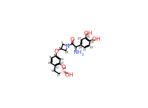 NC(C(=O)N1CC(Oc2ccc3c(c2)OB(O)CC3)C1)c1ccc(O)c(O)c1